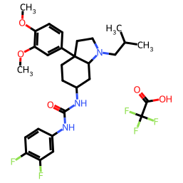 COc1ccc(C23CCC(NC(=O)Nc4ccc(F)c(F)c4)CC2N(CC(C)C)CC3)cc1OC.O=C(O)C(F)(F)F